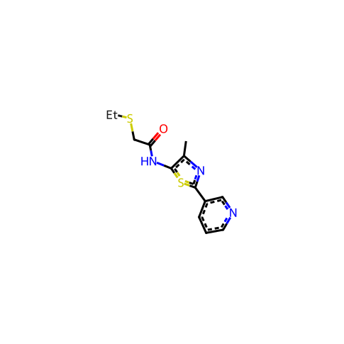 CCSCC(=O)Nc1sc(-c2cccnc2)nc1C